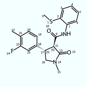 CSc1ccccc1NC(=O)[C@H]1C(=O)N(C)C[C@@H]1c1ccc(C)c(F)c1